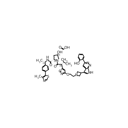 Cc1ncsc1-c1ccc([C@H](C)NC(=O)[C@@H]2C[C@@H](O)CN2C(=O)[C@@H](c2cc(OCCN3CC(c4c[nH]c5nnc(-c6ccccc6O)cc45)C3)no2)C(C)C)cc1.O=CO